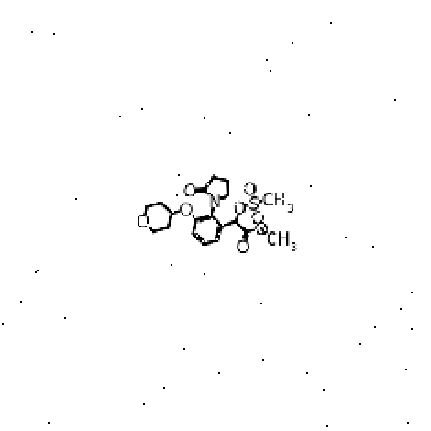 COC(=O)C(OS(C)(=O)=O)c1cccc(OC2CCOCC2)c1N1CCCC1=O